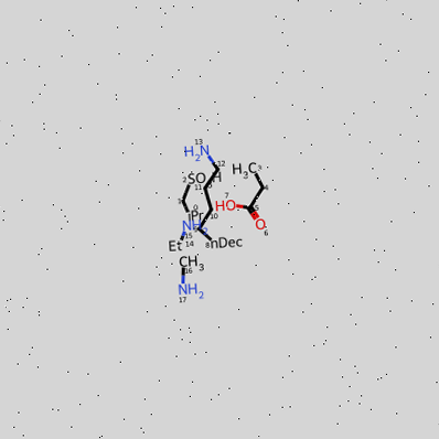 CC(C)CS(=O)(=O)O.CCC(=O)O.CCCCCCCCCCCCCCN.CCN.CN